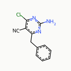 N#Cc1c(Cl)nc(N)nc1Cc1ccccc1